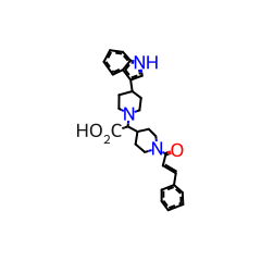 O=C(O)C(C1CCN(C(=O)/C=C/c2ccccc2)CC1)N1CCC(c2c[nH]c3ccccc23)CC1